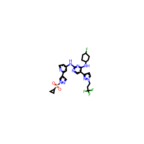 O=S(=O)(C1CC1)n1cc(-c2cc(Nc3ncc(-c4ccn(CCC(F)(F)F)n4)c(NC4CCC(F)CC4)n3)ccn2)cn1